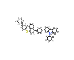 c1ccc(-c2ccc3c(c2)-c2cccc4c(-c5ccc(-c6ccc7c8ccccc8n(-c8ccccc8)c7c6)cc5)ccc(c24)S3)cc1